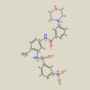 Cc1ccc(NC(=O)c2cccc(N3CCOCC3)c2)cc1NC(=O)c1cccc([N+](=O)[O-])c1